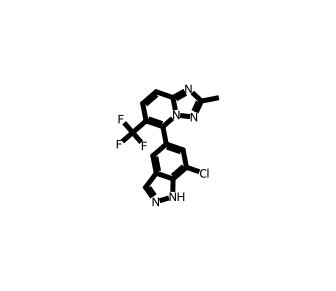 Cc1nc2ccc(C(F)(F)F)c(-c3cc(Cl)c4[nH]ncc4c3)n2n1